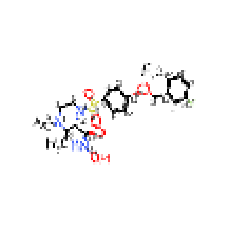 CC(=O)N1CCN(S(=O)(=O)c2ccc(OCc3cc(F)ccc3C(F)(F)F)cc2)C(C(=O)NO)C1C